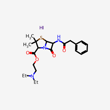 CCN(CC)CCOC(=O)C1N2C(=O)C(NC(=O)Cc3ccccc3)C2SC1(C)C.I